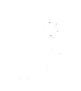 COc1ccc(CSCc2ccc(OC)cc2)cc1.[Na]